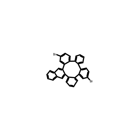 Brc1ccc2c3ccccc3c3ccc(Br)cc3c3cc4ccccc4cc3c3ccccc3c2c1